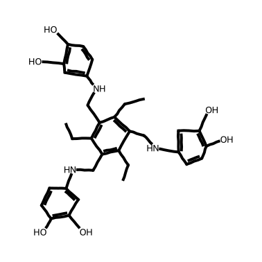 CCc1c(CNc2ccc(O)c(O)c2)c(CC)c(CNc2ccc(O)c(O)c2)c(CC)c1CNc1ccc(O)c(O)c1